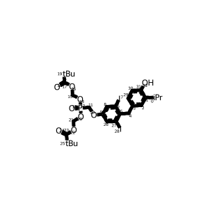 CC(C)c1cc(Cc2c(I)cc(OCP(=O)(OCOC(=O)C(C)(C)C)OCOC(=O)C(C)(C)C)cc2I)ccc1O